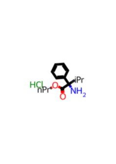 CCCOC(=O)C(N)(c1ccccc1)C(C)C.Cl